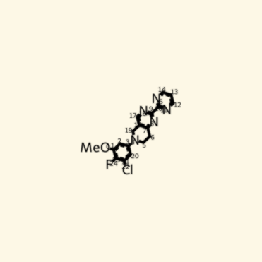 COc1cc(N2CCc3nc(-c4ncccn4)ncc3C2)cc(Cl)c1F